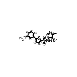 Cc1noc(NS(=O)(=O)c2ccc(-c3cccc(N)c3)s2)c1Br